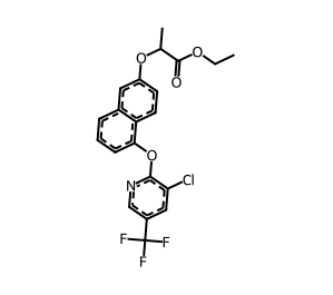 CCOC(=O)C(C)Oc1ccc2c(Oc3ncc(C(F)(F)F)cc3Cl)cccc2c1